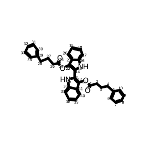 O=C(CCCc1ccccc1)Oc1c(-c2[nH]c3ccccc3c2OC(=O)CCCc2ccccc2)[nH]c2ccccc12